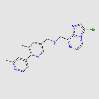 Cc1cc(-c2ncc(CNCc3nccn4c(Br)cnc34)cc2C)ccn1